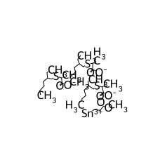 CCCCC(CC)CSC(C)C(=O)[O-].CCCCC(CC)CSC(C)C(=O)[O-].CCCCC(CC)CSC(C)C(=O)[O-].COC(=O)C[CH2][Sn+3]